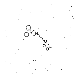 CC(=O)CC(=O)OCCCCN1CCC(c2ccccc2)(c2ccccc2)CC1